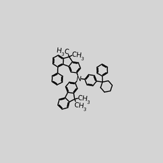 CC1(C)c2ccccc2-c2ccc(N(c3ccc(C4(c5ccccc5)CCCCC4)cc3)c3ccc4c(c3)-c3c(-c5ccccc5)cccc3C4(C)C)cc21